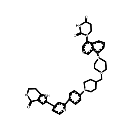 O=C1CCN(c2cncc3c(N4CCN(CC5CCN(c6ccc(-c7cc(-c8cc9c([nH]8)CCNC9=O)ccn7)cc6)CC5)CC4)cccc23)C(=O)N1